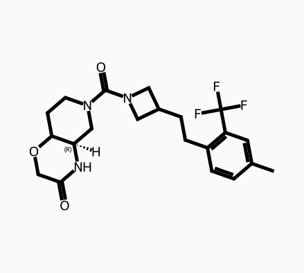 Cc1ccc(CCC2CN(C(=O)N3CCC4OCC(=O)N[C@@H]4C3)C2)c(C(F)(F)F)c1